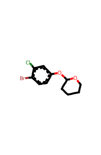 Clc1cc(OC2CCCCO2)ccc1Br